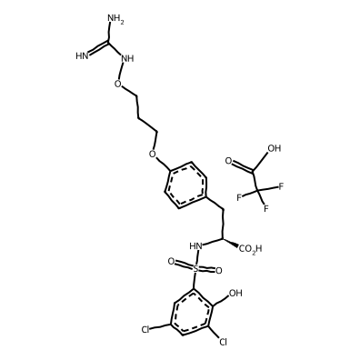 N=C(N)NOCCCOc1ccc(C[C@H](NS(=O)(=O)c2cc(Cl)cc(Cl)c2O)C(=O)O)cc1.O=C(O)C(F)(F)F